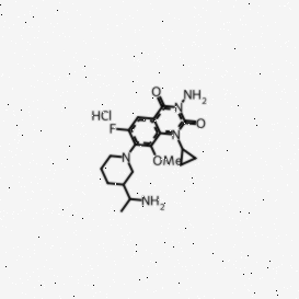 COc1c(N2CCCC(C(C)N)C2)c(F)cc2c(=O)n(N)c(=O)n(C3CC3)c12.Cl